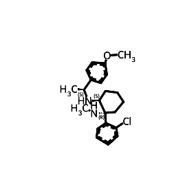 CN[C@@]1(c2ccccc2Cl)CCCC[C@@H]1N[C@@H](C)c1ccc(OC)cc1